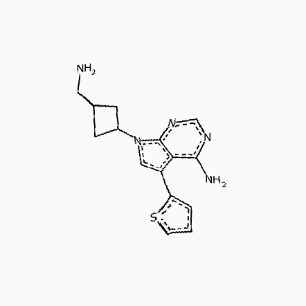 NCC1CC(n2cc(-c3cccs3)c3c(N)ncnc32)C1